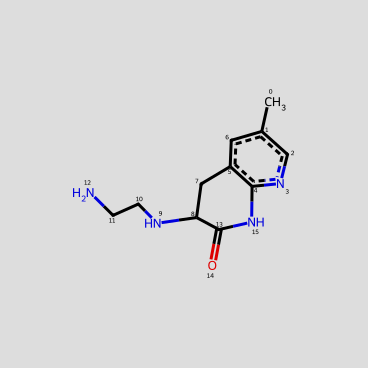 Cc1cnc2c(c1)CC(NCCN)C(=O)N2